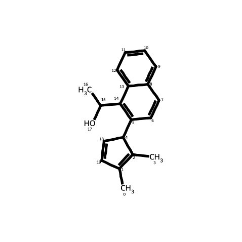 CC1=C(C)C(c2ccc3ccccc3c2C(C)O)C=C1